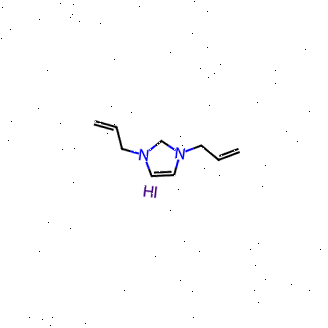 C=CCN1C=CN(CC=C)C1.I